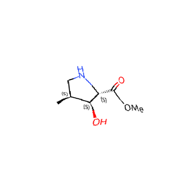 COC(=O)[C@H]1NC[C@H](C)[C@@H]1O